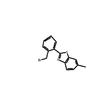 Cc1ccc2nc(-c3ccccc3CBr)sc2c1